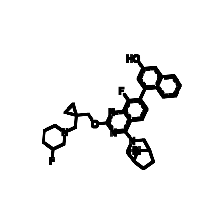 Oc1cc(-c2ccc3c(N4CC5CCC(C4)N5)nc(OCC4(CN5CCCC(F)C5)CC4)nc3c2F)c2ccccc2c1